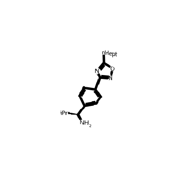 CCCCCCCc1nc(-c2ccc([C@@H](N)C(C)C)cc2)no1